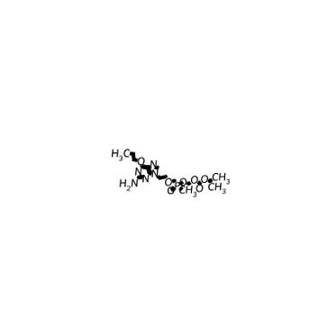 CCCOc1nc(N)nc2c1ncn2CCOCP(C)(=O)OCOC(=O)OC(C)C